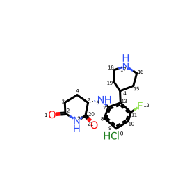 Cl.O=C1CC[C@H](Nc2cccc(F)c2C2CCNCC2)C(=O)N1